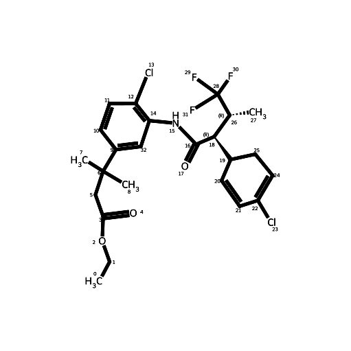 CCOC(=O)CC(C)(C)c1ccc(Cl)c(NC(=O)[C@H](C2C=CC(Cl)=CC2)[C@@H](C)C(F)(F)F)c1